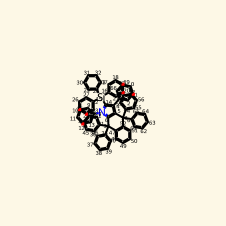 c1ccc(-c2c3c(n(-c4ccccc4)c2[Si](c2ccccc2)(c2ccccc2)c2ccccc2)C(c2ccccc2)(c2ccccc2)c2ccccc2C3(c2ccccc2)c2ccccc2)cc1